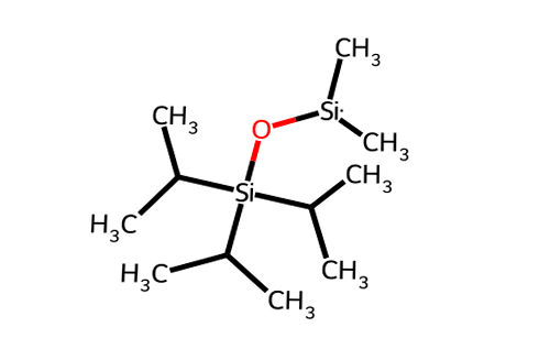 CC(C)[Si](O[Si](C)C)(C(C)C)C(C)C